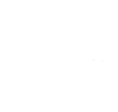 CCCc1c(OCCCOc2ccc(C(=O)NC)c(OC)c2CCC)cccc1OCC(=O)O